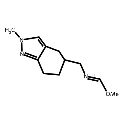 CO/C=N/CC1CCc2nn(C)cc2C1